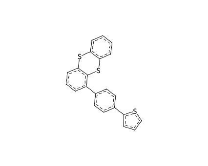 c1csc(-c2ccc(-c3cccc4c3Sc3ccccc3S4)cc2)c1